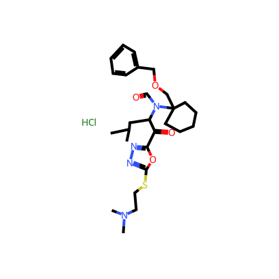 CC(C)CC(C(=O)c1nnc(SCCN(C)C)o1)N(C=O)C1(COCc2ccccc2)CCCCC1.Cl